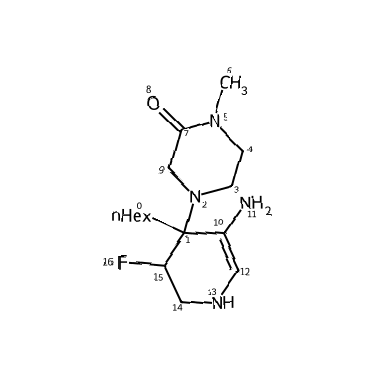 CCCCCCC1(N2CCN(C)C(=O)C2)C(N)=CNCC1F